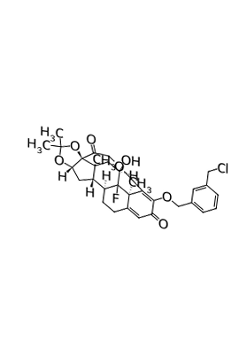 CC1(C)O[C@H]2C[C@H]3[C@@H]4CCC5=CC(=O)C(OCc6cccc(CCl)c6)=C6OCC(=O)[C@]2(O1)[C@]3(C)C[C@@H](O)C4(F)[C@]56C